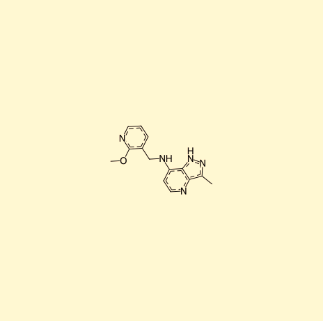 COc1ncccc1CNc1ccnc2c(C)n[nH]c12